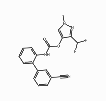 Cn1cc(OC(=O)Nc2ccccc2-c2cccc(C#N)c2)c(C(F)F)n1